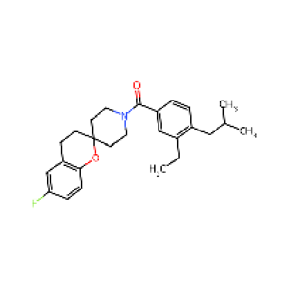 CCc1cc(C(=O)N2CCC3(CCc4cc(F)ccc4O3)CC2)ccc1CC(C)C